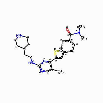 Cc1cnc(NCCC2CCNCC2)nc1-c1cc2ccc(C(=O)N(C)C)cc2s1